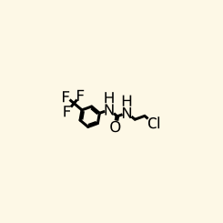 O=C(NCCCl)Nc1cccc(C(F)(F)F)c1